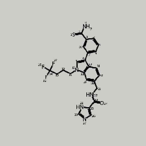 NC(=S)c1cccc(-c2cn(CCCC(F)(F)F)c3cc(CNC(=O)c4cnc[nH]4)ccc23)c1